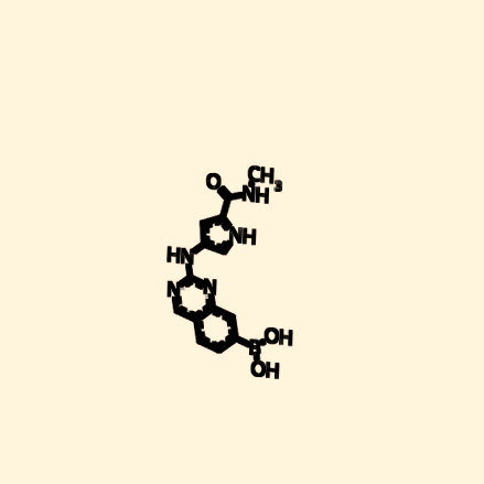 CNC(=O)c1cc(Nc2ncc3ccc(B(O)O)cc3n2)c[nH]1